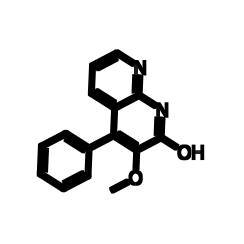 COc1c(O)nc2ncccc2c1-c1ccccc1